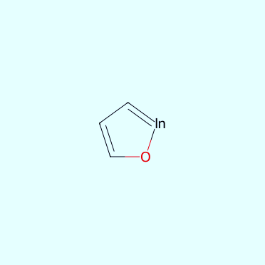 C1=C[O][In]=[CH]1